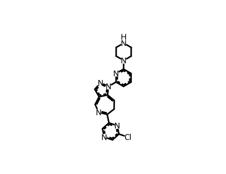 Clc1cncc(C2=NC=c3cnn(-c4cccc(N5CCNCC5)n4)c3=CC2)n1